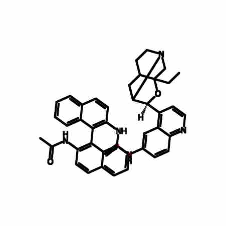 C=C(Nc1ccc2nccc([C@@H]3OC4(CC)CN5CCC4CC35)c2c1)Nc1ccc2ccccc2c1-c1c(NC(C)=O)ccc2ccccc12